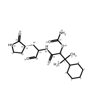 CC(C)(C1CCCCC1)C(OC(N)=O)C(=O)NC(C=O)C[C@@H]1CCNC1=O